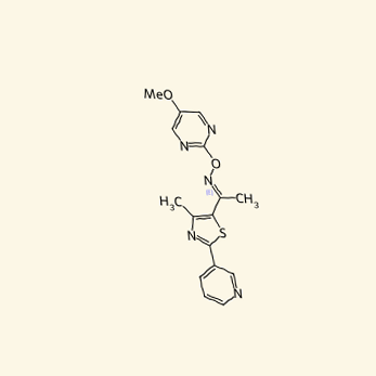 COc1cnc(O/N=C(\C)c2sc(-c3cccnc3)nc2C)nc1